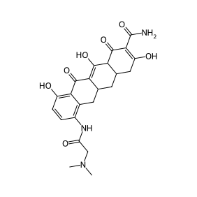 CN(C)CC(=O)Nc1ccc(O)c2c1CC1CC3CC(O)=C(C(N)=O)C(=O)C3C(O)=C1C2=O